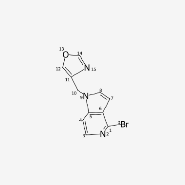 Brc1nccc2c1ccn2Cc1cocn1